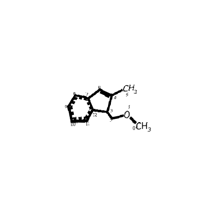 COCC1C(C)=Cc2ccccc21